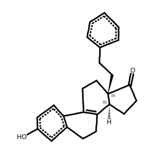 O=C1CC[C@H]2C3=C(CC[C@]12CCc1ccccc1)c1ccc(O)cc1CC3